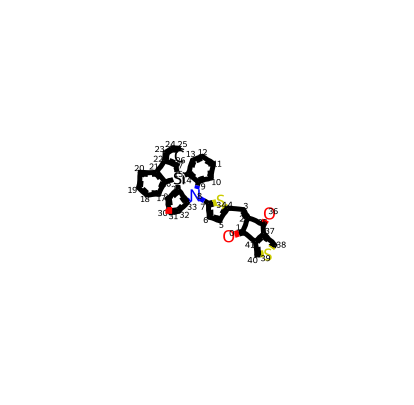 O=C1C(=Cc2ccc(N3c4ccccc4[Si]4(c5ccccc5-c5ccccc54)c4ccccc43)s2)C(=O)c2cscc21